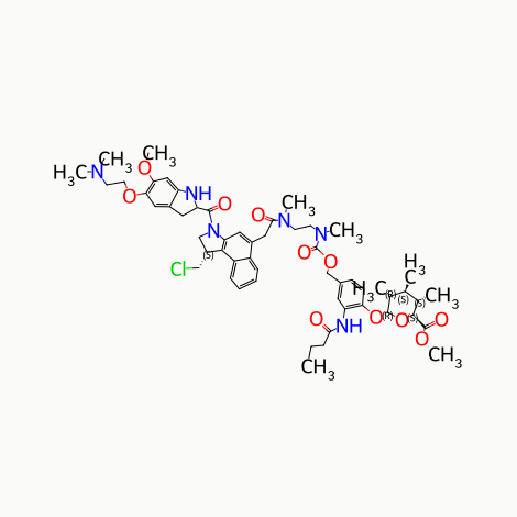 CCCC(=O)Nc1cc(COC(=O)N(C)CCN(C)C(=O)Cc2cc3c(c4ccccc24)[C@H](CCl)CN3C(=O)C2Cc3cc(OCCN(C)C)c(OC)cc3N2)ccc1O[C@H]1O[C@H](C(=O)OC)[C@@H](C)[C@H](C)[C@H]1C